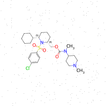 CN1CCC(N(C)C(=O)OC[C@H]2CCC[C@@H](C3CCCCC3)N2S(=O)(=O)c2ccc(Cl)cc2)CC1